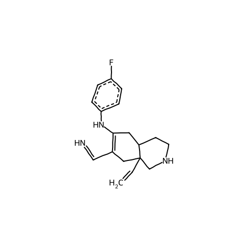 C=CC12CNCCC1CC(Nc1ccc(F)cc1)=C(C=N)C2